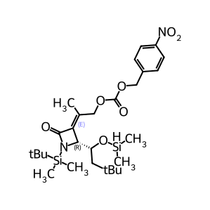 C/C(COC(=O)OCc1ccc([N+](=O)[O-])cc1)=C1\C(=O)N([Si](C)(C)C(C)(C)C)[C@H]1C(CC(C)(C)C)O[SiH](C)C